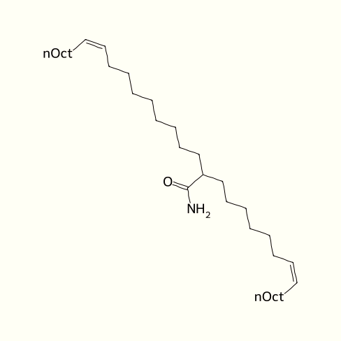 CCCCCCCC/C=C\CCCCCCCCC(CCCCCC/C=C\CCCCCCCC)C(N)=O